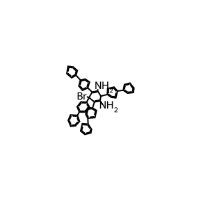 NC1=C(c2ccc(-c3ccccc3)cc2)C(Br)(c2ccc(-c3ccccc3)cc2)C(c2ccc(-c3ccccc3)cc2)=C(N)C1c1ccc(-c2ccccc2)cc1